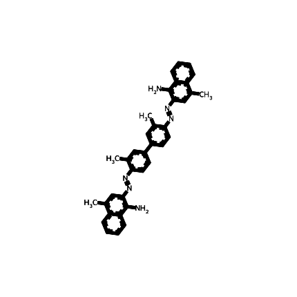 Cc1cc(-c2ccc(N=Nc3cc(C)c4ccccc4c3N)c(C)c2)ccc1N=Nc1cc(C)c2ccccc2c1N